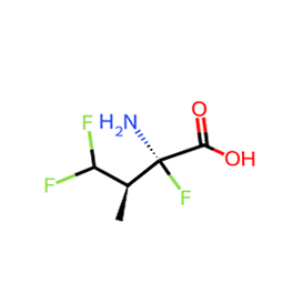 C[C@@H](C(F)F)[C@](N)(F)C(=O)O